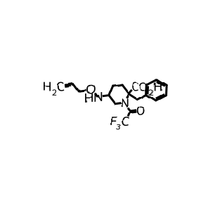 C=CCONC1CCC(Cc2ccccc2)(C(=O)O)N(C(=O)C(F)(F)F)C1